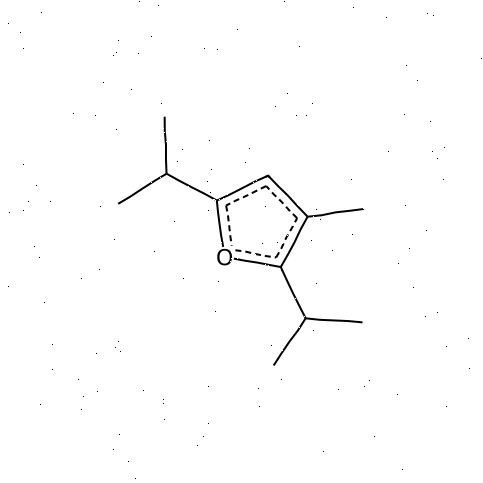 Cc1cc(C(C)C)oc1C(C)C